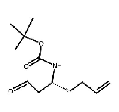 C=CCC[C@H](CC=O)NC(=O)OC(C)(C)C